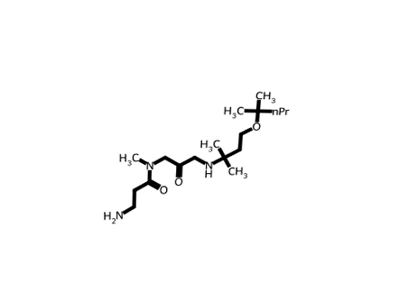 CCCC(C)(C)OCCC(C)(C)NCC(=O)CN(C)C(=O)CCN